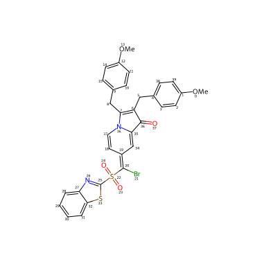 COc1ccc(CC2=C(Cc3ccc(OC)cc3)N3C=CC(=C(Br)S(=O)(=O)c4nc5ccccc5s4)C=C3C2=O)cc1